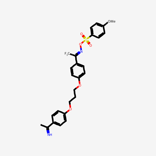 COc1ccc(S(=O)(=O)O/N=C(/c2ccc(OCCCOc3ccc(C(C)=N)cc3)cc2)C(F)(F)F)cc1